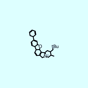 CC1C[N+]2=C(CC1CC(C)(C)C)C1=C(C=CC3C1OC1C=C(C4C=CC=CC4)C=CC13)C2